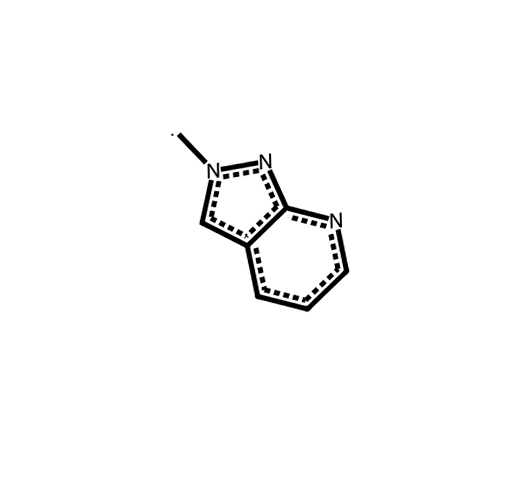 [CH2]n1cc2cccnc2n1